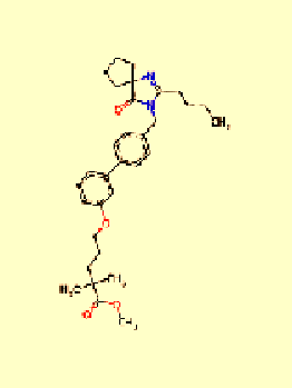 CCCCC1=NC2(CCCC2)C(=O)N1Cc1ccc(-c2cccc(OCCCC(C)(C)C(=O)OC)c2)cc1